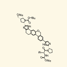 COC[C@H]1C[C@@H](c2nc3c([nH]2)-c2cc4c(cc2CC3)-c2ccc(-c3cnc([C@@H]5CCCN5C(=O)[C@@H](NC(=O)OC)C(C)C)[nH]3)cc2CO4)N(C(=O)OC(C)(C)C)C1